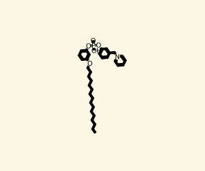 CCCCCCCCCCCCCCCCOc1cccc(OP(=O)(O)Oc2cccc(C[n+]3ccccc3)c2)c1